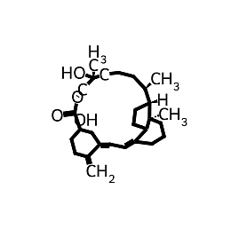 C=C1CC[C@]2(O)C/C1=C/C=C1CCC[C@@]3(C)C1CC[C@@H]3[C@H](C)CCC[C@@](C)(O)COC2=O